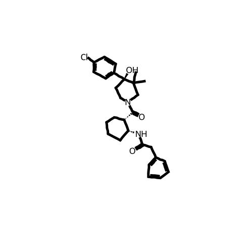 CC1(C)CN(C(=O)[C@H]2CCCC[C@H]2NC(=O)Cc2ccccc2)CC[C@]1(O)c1ccc(Cl)cc1